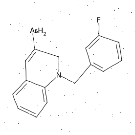 Fc1cccc(CN2CC([AsH2])=Cc3ccccc32)c1